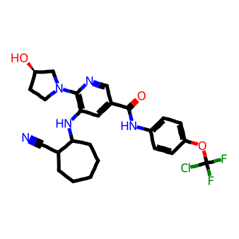 N#CC1CCCCCC1Nc1cc(C(=O)Nc2ccc(OC(F)(F)Cl)cc2)cnc1N1CC[C@@H](O)C1